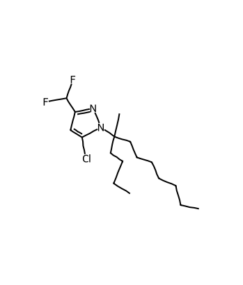 CCCCCCCC(C)(CCCC)n1nc(C(F)F)cc1Cl